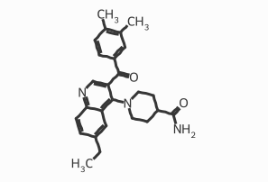 CCc1ccc2ncc(C(=O)c3ccc(C)c(C)c3)c(N3CCC(C(N)=O)CC3)c2c1